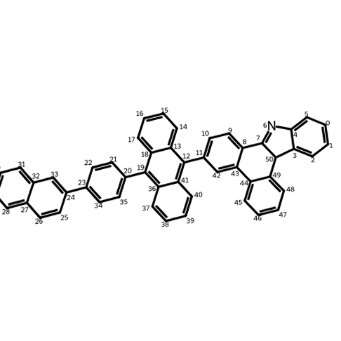 c1ccc2c(c1)N=C1c3ccc(-c4c5ccccc5c(-c5ccc(-c6ccc7ccccc7c6)cc5)c5ccccc45)cc3-c3ccccc3C12